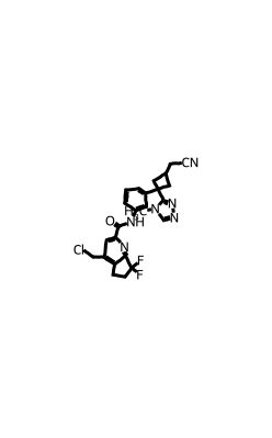 Cn1cnnc1C1(c2cccc(NC(=O)c3cc(CCl)c4c(n3)C(F)(F)CC4)c2)CC(CC#N)C1